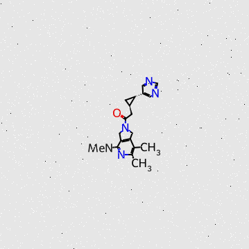 CNc1nc(C)c(C)c2c1CN(C(=O)C[C@H]1C[C@@H]1c1cncnc1)C2